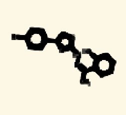 CC(=NNc1nc(-c2ccc(Br)cc2)cs1)c1ccccc1O